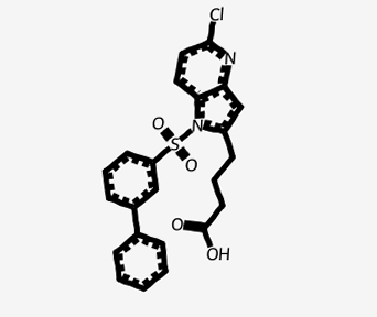 O=C(O)CCCc1cc2nc(Cl)ccc2n1S(=O)(=O)c1cccc(-c2ccccc2)c1